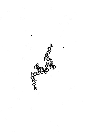 CO[C@@H]1CN(S(C)(=O)=O)C[C@@H]1n1c(Cc2cc(F)c(-c3cccc(OCc4ccc(C#N)cc4F)n3)cc2F)nc2ccc(C(=O)OC(=O)c3ccc4nc(Cc5cc(F)c(-c6cccc(OCc7ccc(C#N)cc7F)n6)cc5F)n([C@H]5CN(S(C)(=O)=O)C[C@H]5OC)c4c3)cc21